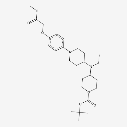 CCN(C1CCN(C(=O)OC(C)(C)C)CC1)C1CCN(c2ccc(OCC(=O)OC)cc2)CC1